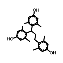 Cc1cc(O)cc(C)c1CCC(c1c(C)cc(O)cc1C)c1c(C)cc(O)cc1C